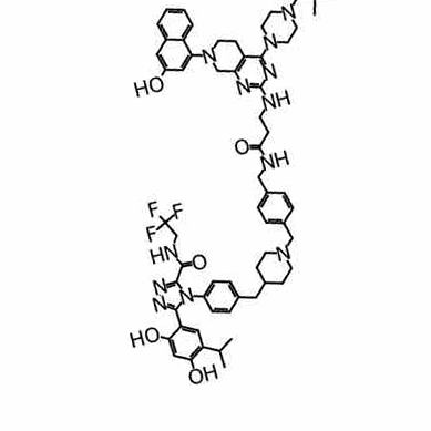 CC(C)c1cc(-c2nnc(C(=O)NCC(F)(F)F)n2-c2ccc(CC3CCN(Cc4ccc(CNC(=O)CCNc5nc6c(c(N7CCN(C(=O)C(C)(C)C)CC7)n5)CCN(c5cc(O)cc7ccccc57)C6)cc4)CC3)cc2)c(O)cc1O